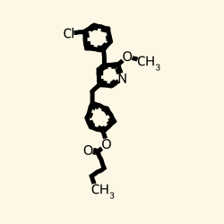 CCCC(=O)Oc1ccc(Cc2cnc(OC)c(-c3cccc(Cl)c3)c2)cc1